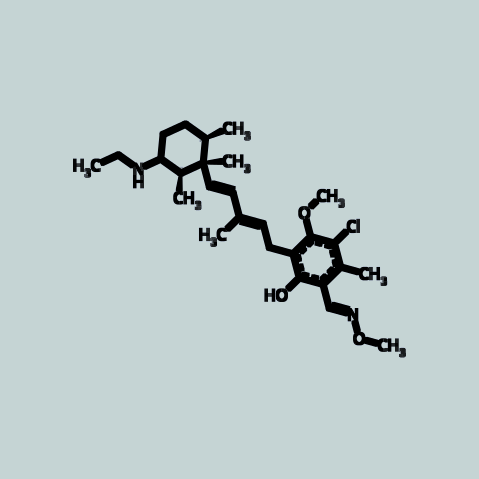 CCNC1CC[C@@H](C)[C@](C)(/C=C/C(C)=C/Cc2c(O)c(/C=N/OC)c(C)c(Cl)c2OC)[C@H]1C